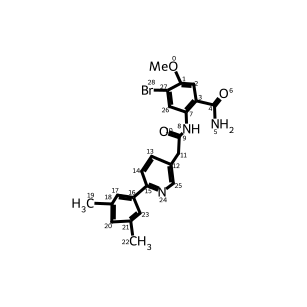 COc1cc(C(N)=O)c(NC(=O)Cc2ccc(-c3cc(C)cc(C)c3)nc2)cc1Br